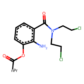 CCCC(=O)Oc1cccc(C(=O)N(CCCl)CCCl)c1N